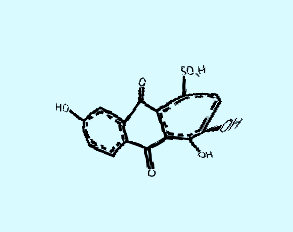 O=C1c2cc(O)ccc2C(=O)c2c(O)c(O)cc(S(=O)(=O)O)c21